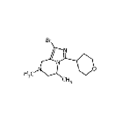 CC1CN(C)Cc2c(Br)nc(C3CCOCC3)n21